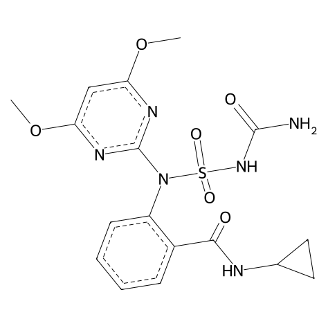 COc1cc(OC)nc(N(c2ccccc2C(=O)NC2CC2)S(=O)(=O)NC(N)=O)n1